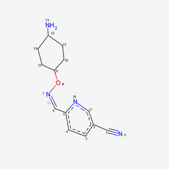 N#Cc1ccc(/C=N\OC2CCC(N)CC2)nc1